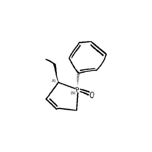 CC[C@@H]1C=CC[P@@]1(=O)c1ccccc1